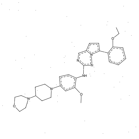 CCOc1ccccc1-c1ccc2cnc(Nc3ccc(N4CCC(N5CCOCC5)CC4)cc3OC)nn12